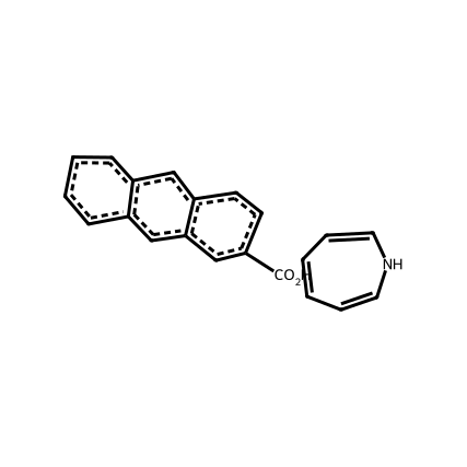 C1=CC=CNC=C1.O=C(O)c1ccc2cc3ccccc3cc2c1